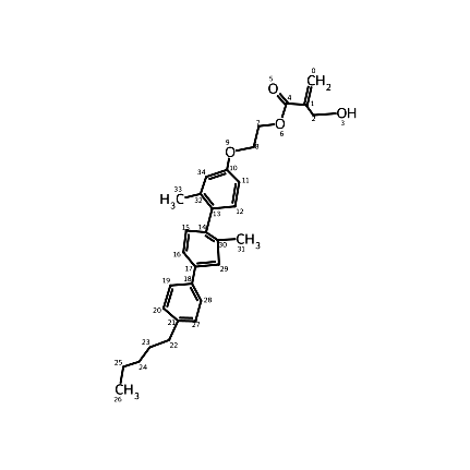 C=C(CO)C(=O)OCCOc1ccc(-c2ccc(-c3ccc(CCCCC)cc3)cc2C)c(C)c1